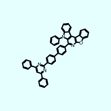 c1ccc(-c2cc(-c3ccccc3)nc(-c3ccc(-c4ccc(-c5nc6oc7ccccc7c6c6c7ccccc7n(-c7ccccc7)c56)cc4)cc3)n2)cc1